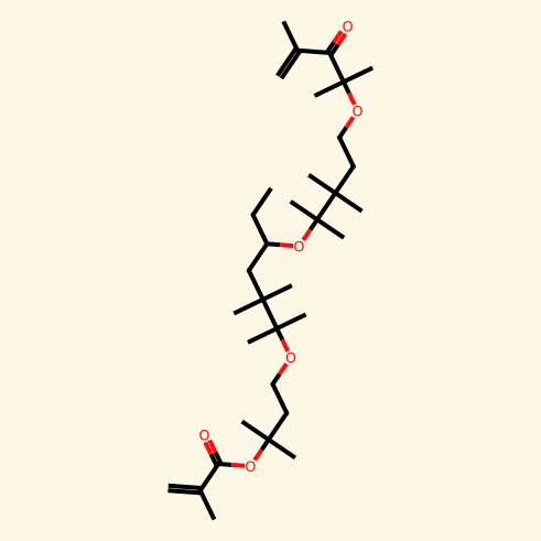 C=C(C)C(=O)OC(C)(C)CCOC(C)(C)C(C)(C)CC(CC)OC(C)(C)C(C)(C)CCOC(C)(C)C(=O)C(=C)C